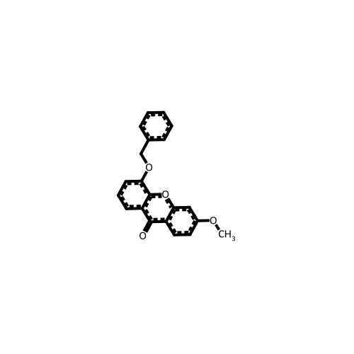 COc1ccc2c(=O)c3cccc(OCc4ccccc4)c3oc2c1